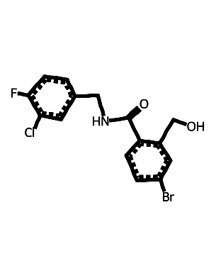 O=C(NCc1ccc(F)c(Cl)c1)c1ccc(Br)cc1CO